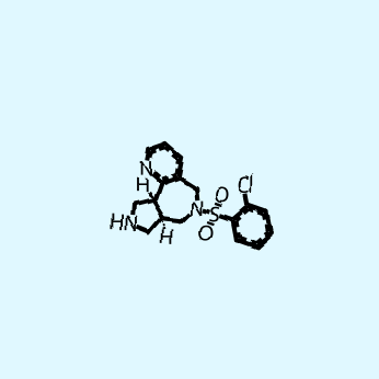 O=S(=O)(c1ccccc1Cl)N1Cc2cccnc2[C@H]2CNC[C@@H]2C1